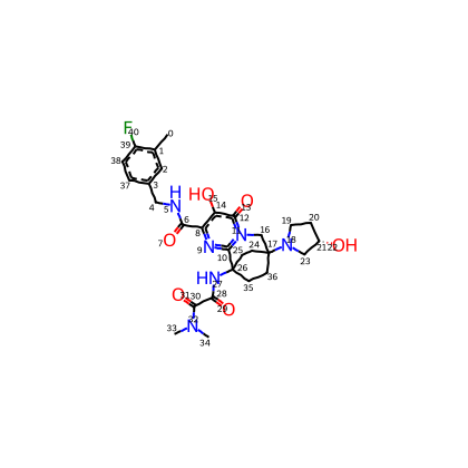 Cc1cc(CNC(=O)c2nc3n(c(=O)c2O)CC2(N4CC[C@H](O)C4)CCC3(NC(=O)C(=O)N(C)C)CC2)ccc1F